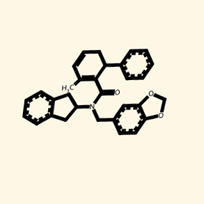 CC1=C(C(=O)N(Cc2ccc3c(c2)OCO3)C2Cc3ccccc3C2)C(c2ccccc2)CC=C1